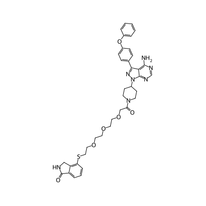 Nc1ncnc2c1c(-c1ccc(Oc3ccccc3)cc1)nn2C1CCN(C(=O)COCCOCCOCCSc2cccc3c2CNC3=O)CC1